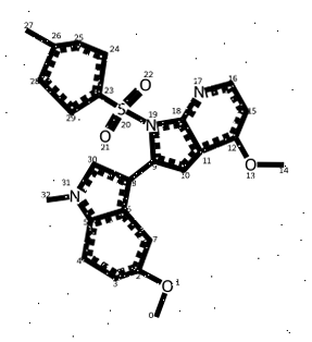 COc1ccc2c(c1)c(-c1cc3c(OC)ccnc3n1S(=O)(=O)c1ccc(C)cc1)cn2C